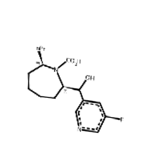 CCC[C@@H]1CCCC[C@H](C(O)c2cncc(F)c2)N1C(=O)O